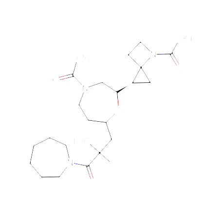 CC(C)(C)C(=O)N1CCC(CC(C)(C)C(=O)N2CCCCCC2)OC([C@@H]2CC23CCN3C(=O)C(C)(C)C)C1